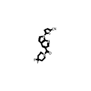 N#Cc1ccc(-n2ccc3cc(C(=O)N4CCC(F)(F)CC4)cnc32)s1